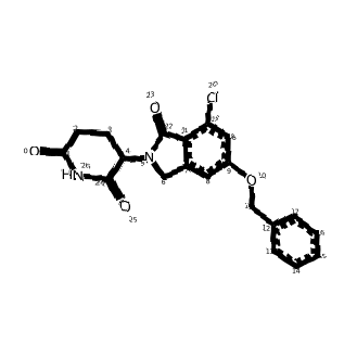 O=C1CCC(N2Cc3cc(OCc4ccccc4)cc(Cl)c3C2=O)C(=O)N1